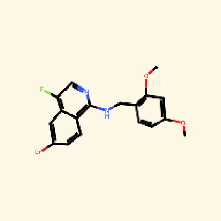 COc1ccc(CNc2ncc(F)c3cc(Br)ccc23)c(OC)c1